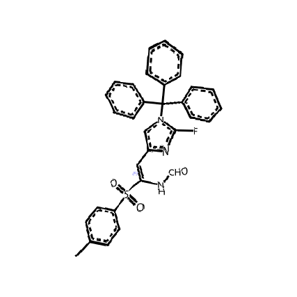 Cc1ccc(S(=O)(=O)/C(=C/c2cn(C(c3ccccc3)(c3ccccc3)c3ccccc3)c(F)n2)NC=O)cc1